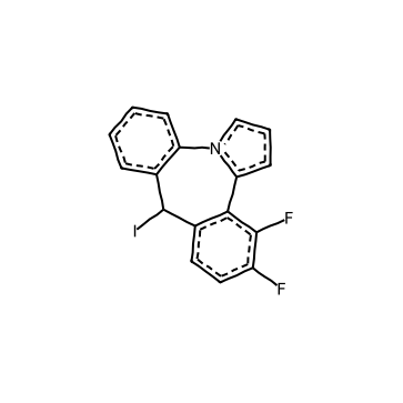 Fc1ccc2c(c1F)-c1cccn1-c1ccccc1C2I